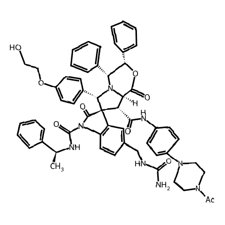 CC(=O)N1CCN(c2ccc(NC(=O)[C@H]3[C@@H]4C(=O)O[C@@H](c5ccccc5)[C@@H](c5ccccc5)N4[C@@H](c4ccc(OCCO)cc4)[C@]34C(=O)N(C(=O)N[C@@H](C)c3ccccc3)c3ccc(CNC(N)=O)cc34)cc2)CC1